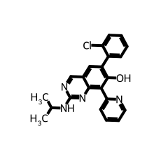 CC(C)Nc1ncc2cc(-c3ccccc3Cl)c(O)c(-c3ccccn3)c2n1